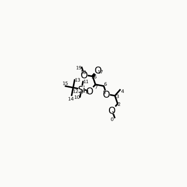 COCC(C)OCC(O[Si](C)(C)C(C)(C)C)C(=O)OC